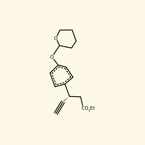 C#C[C@@H](CC(=O)OCC)c1ccc(OC2CCCCO2)cc1